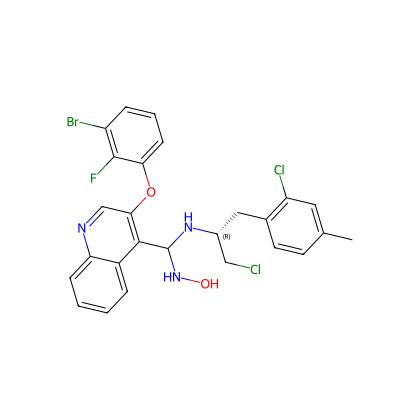 Cc1ccc(C[C@H](CCl)NC(NO)c2c(Oc3cccc(Br)c3F)cnc3ccccc23)c(Cl)c1